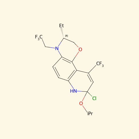 CC[C@@H]1COc2c(ccc3c2C(C(F)(F)F)=CC(Cl)(OC(C)C)N3)N1CC(F)(F)F